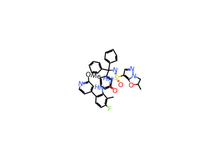 COc1cc(-c2ccc(F)c(C)c2NC(=O)NS(=O)(=NC(c2ccccc2)(c2ccccc2)c2ccccc2)c2cnn3c2OC(C)C3)ccn1